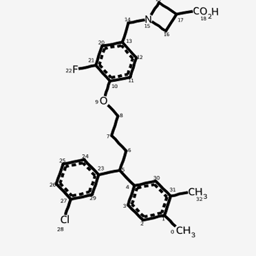 Cc1ccc(C(CCCOc2ccc(CN3CC(C(=O)O)C3)cc2F)c2cccc(Cl)c2)cc1C